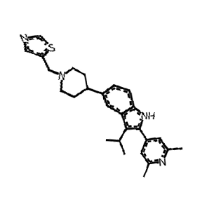 Cc1cc(-c2[nH]c3ccc(C4CCN(Cc5cncs5)CC4)cc3c2C(C)C)cc(C)n1